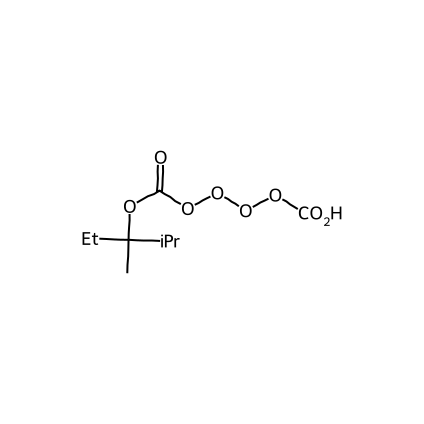 CCC(C)(OC(=O)OOOOC(=O)O)C(C)C